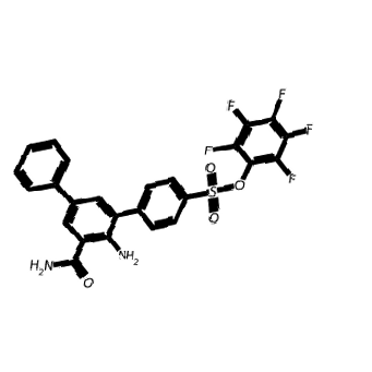 NC(=O)c1cc(-c2ccccc2)cc(-c2ccc(S(=O)(=O)Oc3c(F)c(F)c(F)c(F)c3F)cc2)c1N